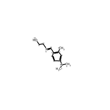 Cc1cc(N(C)C)ccc1C=NCCO